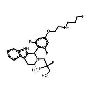 C[C@@H]1Cc2c([nH]c3ccccc23)C(c2c(F)cc(OCCNCCCF)cc2F)N1CC(F)(F)CO